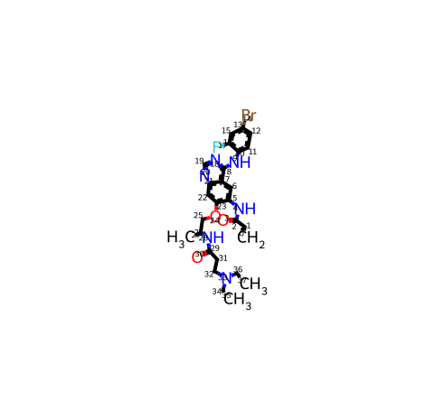 C=CC(=O)Nc1cc2c(Nc3ccc(Br)cc3F)ncnc2cc1OCC(C)NC(=O)CCN(CC)CC